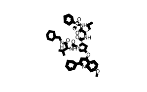 CCC[C@H](NC(=O)[C@@H]1CC(Oc2cc(-c3ccccc3)nc3cc(OC)ccc23)CN1C(=O)N[C@H](C(=O)NCC1CCCCC1)C(C)C)C(=O)NS(=O)(=O)c1ccccc1